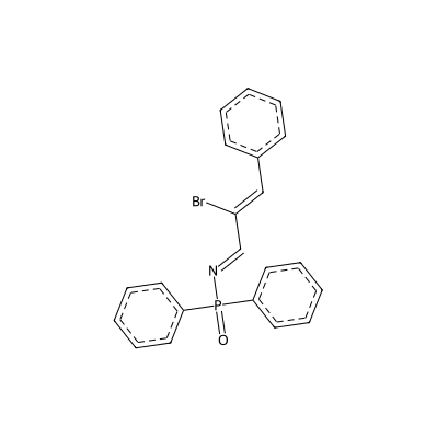 O=P(N=CC(Br)=Cc1ccccc1)(c1ccccc1)c1ccccc1